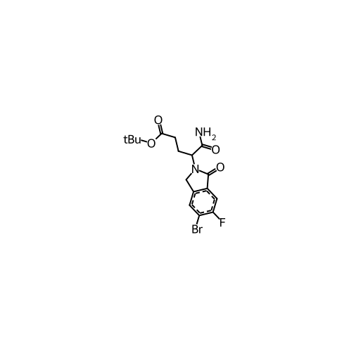 CC(C)(C)OC(=O)CCC(C(N)=O)N1Cc2cc(Br)c(F)cc2C1=O